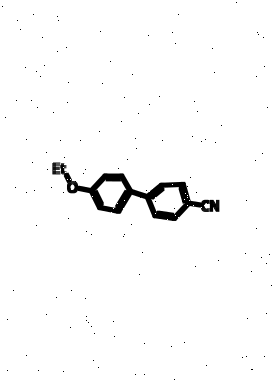 CCOc1ccc(-c2ccc(C#N)cc2)cc1